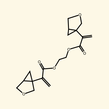 C=C(C(=O)OCCOC(=O)C(=C)C12COCC1C2)C12COCC1C2